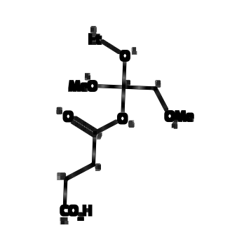 CCOC(COC)(OC)OC(=O)CCC(=O)O